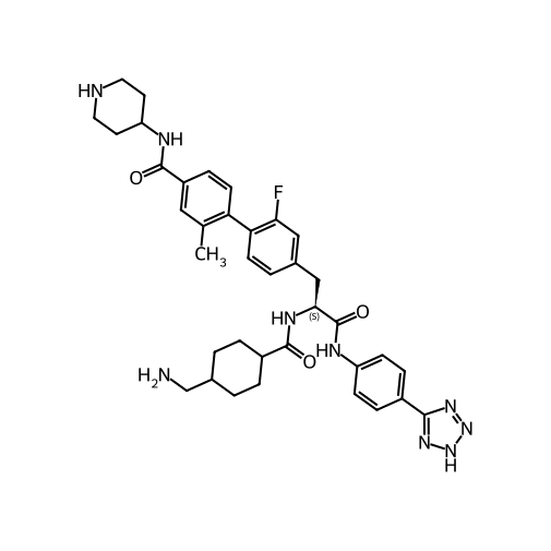 Cc1cc(C(=O)NC2CCNCC2)ccc1-c1ccc(C[C@H](NC(=O)C2CCC(CN)CC2)C(=O)Nc2ccc(-c3nn[nH]n3)cc2)cc1F